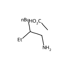 CC(=O)O.CCCCC(CC)CN